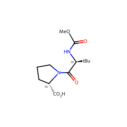 COC(=O)N[C@H](C(=O)N1CCC[C@H]1C(=O)O)C(C)(C)C